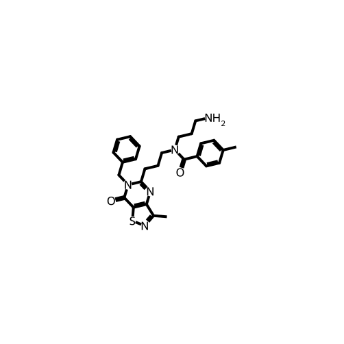 Cc1ccc(C(=O)N(CCCN)CCCc2nc3c(C)nsc3c(=O)n2Cc2ccccc2)cc1